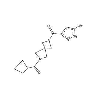 CC(C)c1cc(C(=O)N2CC3(C2)CN(C(=O)C2CCC2)C3)n[nH]1